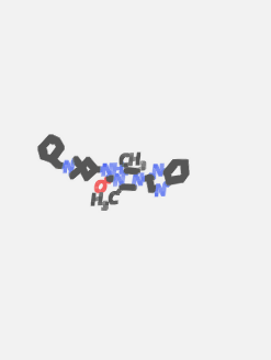 C[C@@H]1CN(c2cnc3ccccc3n2)C[C@H](C)N1C(=O)NC1CC2(C1)CN(Cc1ccccc1)C2